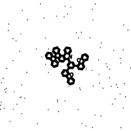 c1ccc2c(c1)-c1ccccc1C21c2ccccc2-c2c1ccc1c(-c3cc(-c4cccc5c4oc4ccccc45)cc(-c4cccc5c4oc4ccccc45)c3)nc3ccccc3c21